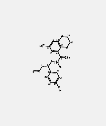 C=CC[C@H](CN(C)C(=O)c1cc(F)cc2c1CCCC2)c1ccc(F)cc1